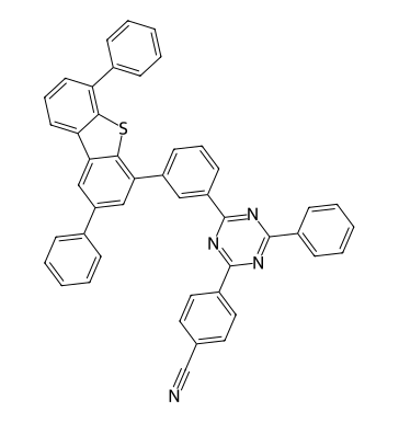 N#Cc1ccc(-c2nc(-c3ccccc3)nc(-c3cccc(-c4cc(-c5ccccc5)cc5c4sc4c(-c6ccccc6)cccc45)c3)n2)cc1